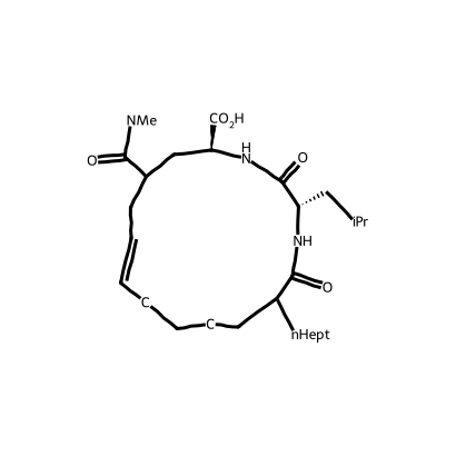 CCCCCCCC1CCCC/C=C/CC(C(=O)NC)C[C@@H](C(=O)O)NC(=O)[C@H](CC(C)C)NC1=O